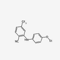 CCOc1ccc(Nc2cc(C(F)(F)F)ccc2C#N)cc1